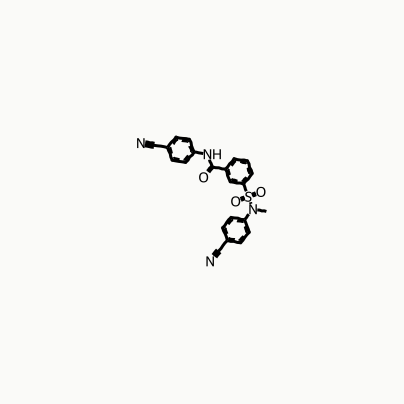 CN(c1ccc(C#N)cc1)S(=O)(=O)c1cccc(C(=O)Nc2ccc(C#N)cc2)c1